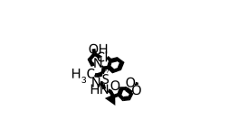 Cc1nc(NC(=O)C2(c3ccc4c(c3)OCO4)CC2)sc1[C@H](c1ccccc1Cl)N1CCC(O)C1